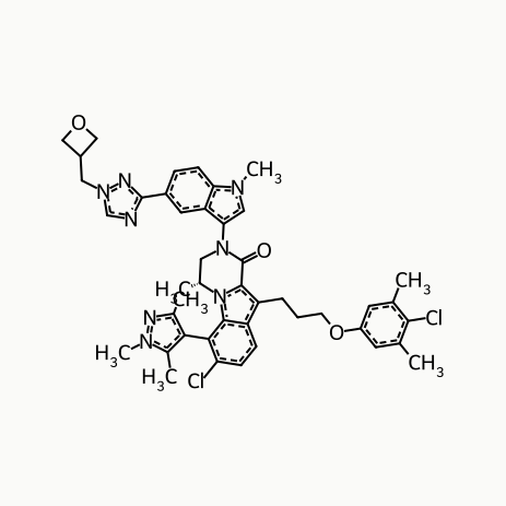 Cc1cc(OCCCc2c3n(c4c(-c5c(C)nn(C)c5C)c(Cl)ccc24)[C@H](C)CN(c2cn(C)c4ccc(-c5ncn(CC6COC6)n5)cc24)C3=O)cc(C)c1Cl